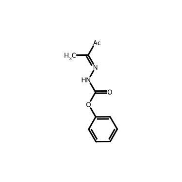 CC(=O)/C(C)=N/NC(=O)Oc1ccccc1